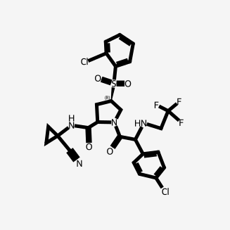 N#CC1(NC(=O)C2C[C@@H](S(=O)(=O)c3ccccc3Cl)CN2C(=O)C(NCC(F)(F)F)c2ccc(Cl)cc2)CC1